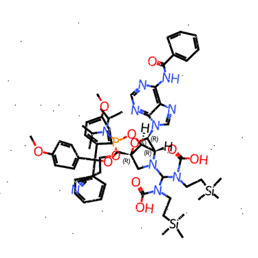 COc1ccc(C(OC[C@@]23CN(C(N(CC[Si](C)(C)C)C(=O)O)N(CC[Si](C)(C)C)C(=O)O)[C@@H]([C@H](n4cnc5c(NC(=O)c6ccccc6)ncnc54)O2)[C@@H]3OP(OCCC#N)N(C(C)C)C(C)C)(c2ccccc2)c2ccc(OC)cc2)cc1